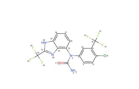 NC(=O)N(c1ccc(Cl)c(C(F)(F)F)c1)c1cccc2[nH]c(C(F)(F)F)nc12